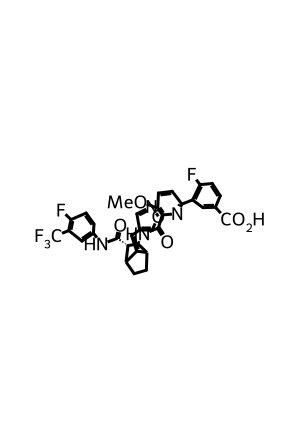 COc1ccc(-c2cc(C(=O)O)ccc2F)nc1C(=O)N[C@@H]1C2CCC(/C2=C/c2cnoc2)[C@@H]1C(=O)Nc1ccc(F)c(C(F)(F)F)c1